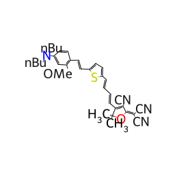 CCCCN(CCCC)c1ccc(C=Cc2ccc(C=CC=CC3=C(C#N)C(=C(C#N)C#N)OC3(C)C)s2)c(OC)c1